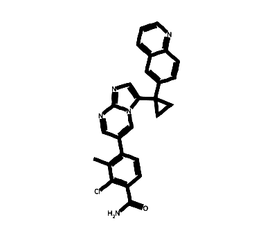 Cc1c(-c2cnc3ncc(C4(c5ccc6ncccc6c5)CC4)n3c2)ccc(C(N)=O)c1Cl